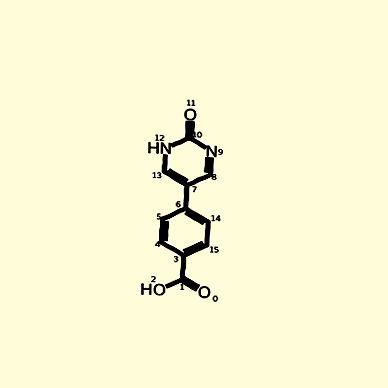 O=C(O)c1ccc(-c2cnc(=O)[nH]c2)cc1